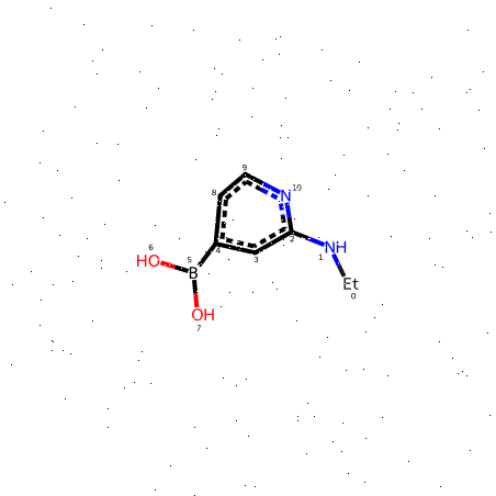 CCNc1cc(B(O)O)ccn1